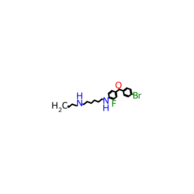 C=CCCNCCCCCCNc1ccc(C(=O)c2ccc(Br)cc2)cc1F